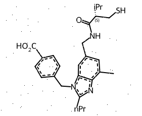 CCCc1nc2c(C)cc(CNC(=O)[C@@H](CS)C(C)C)cc2n1Cc1ccc(C(=O)O)cc1